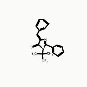 CC(C)(C)N1C(=O)/C(=C/c2ccccc2)N=C1c1ccccc1